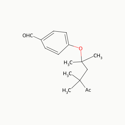 CC(=O)C(C)(C)CC(C)(C)Oc1ccc(C=O)cc1